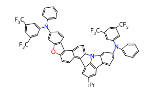 CC(C)c1cc2c3ccc(N(c4ccccc4)c4cc(C(F)(F)F)cc(C(F)(F)F)c4)cc3n3c4ccc5c(ccc6oc7cc(N(c8ccccc8)c8cc(C(F)(F)F)cc(C(F)(F)F)c8)ccc7c65)c4c(c1)c23